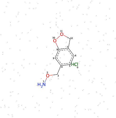 Cl.NOCc1ccc2c(c1)OOC2